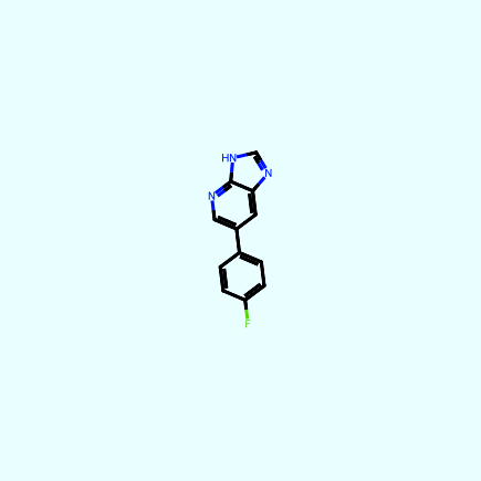 Fc1ccc(-c2cnc3[nH]cnc3c2)cc1